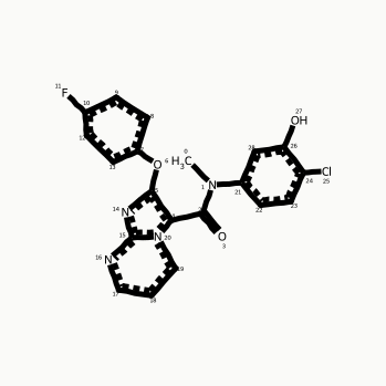 CN(C(=O)c1c(Oc2ccc(F)cc2)nc2ncccn12)c1ccc(Cl)c(O)c1